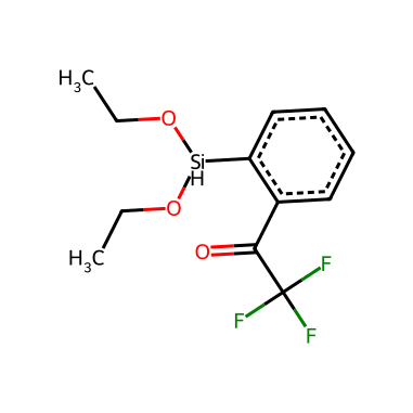 CCO[SiH](OCC)c1ccccc1C(=O)C(F)(F)F